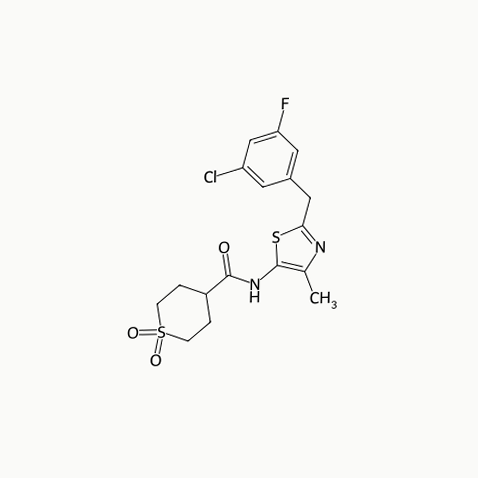 Cc1nc(Cc2cc(F)cc(Cl)c2)sc1NC(=O)C1CCS(=O)(=O)CC1